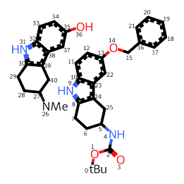 CC(C)(C)OC(=O)NC1CCc2[nH]c3ccc(OCc4ccccc4)cc3c2C1.CNC1CCc2[nH]c3ccc(O)cc3c2C1